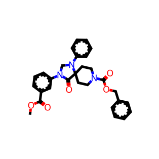 COC(=O)c1cccc(N2CN(c3ccccc3)C3(CCN(C(=O)OCc4ccccc4)CC3)C2=O)c1